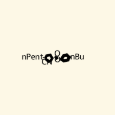 CCCCC[C@]1(C#N)CC[C@H](C(=O)Oc2ccc(CCCC)cc2)CC1